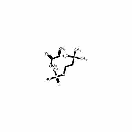 C=CC(=O)OC.C[N+](C)(C)CCOP(=O)(O)O